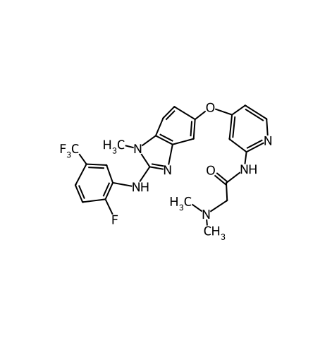 CN(C)CC(=O)Nc1cc(Oc2ccc3c(c2)nc(Nc2cc(C(F)(F)F)ccc2F)n3C)ccn1